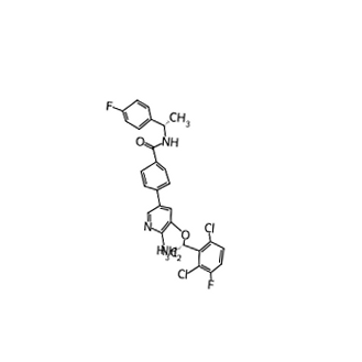 C[C@H](NC(=O)c1ccc(-c2cnc(N)c(O[C@@H](C)c3c(Cl)ccc(F)c3Cl)c2)cc1)c1ccc(F)cc1